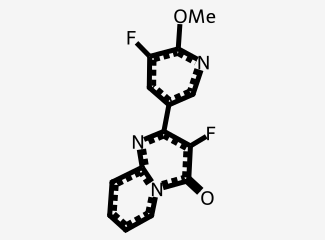 COc1ncc(-c2nc3ccccn3c(=O)c2F)cc1F